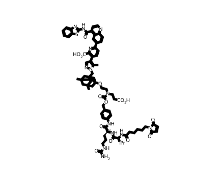 Cc1c(-c2ccc(-c3ccc4nccc(C(=O)Nc5nc6ccccc6s5)c4c3)nc2C(=O)O)cnn1CC12CC3(C)CC(C)(C1)CC(OCCN(CCC(=O)O)C(=O)OCc1ccc(NC(=O)[C@H](CCCNC(N)=O)NC(=O)C(NC(=O)CCCCCN4C(=O)C=CC4=O)C(C)C)cc1)(C3)C2